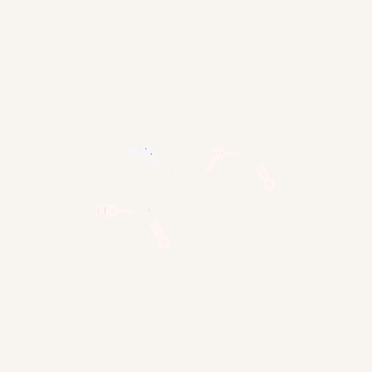 CC(=O)OC[C@@H](N)C(=O)O